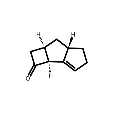 O=C1C[C@H]2C[C@@H]3CCC=C3[C@@H]12